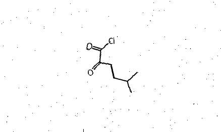 CC(C)CCC(=O)C(=O)Cl